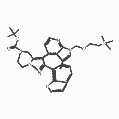 Cc1cn(COCC[Si](C)(C)C)c2nccc(-c3c(-c4cccc5ccoc45)nn4c3CN(C(=O)OC(C)(C)C)CC4)c12